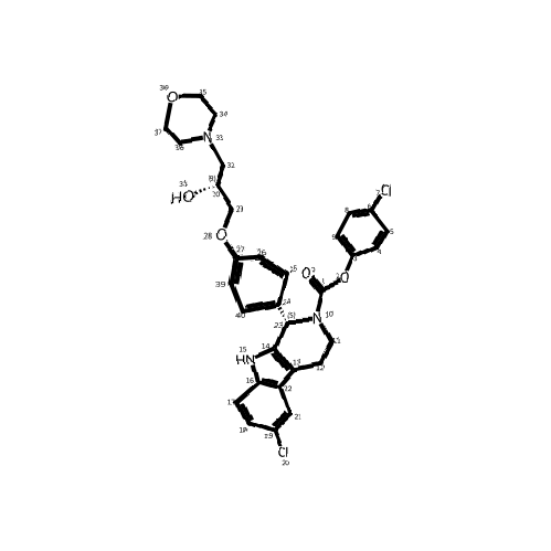 O=C(Oc1ccc(Cl)cc1)N1CCc2c([nH]c3ccc(Cl)cc23)[C@@H]1c1ccc(OC[C@H](O)CN2CCOCC2)cc1